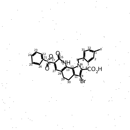 Cc1ccc(Cn2c(C(=O)O)c(Br)c3c2-c2[nH]c(=O)c(S(=O)(=O)c4ccccc4)cc2CC3)cc1